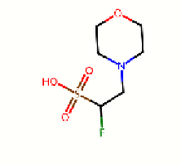 O=S(=O)(O)C(F)CN1CCOCC1